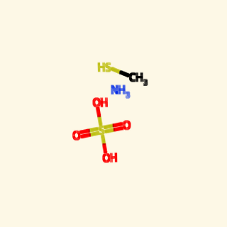 CS.N.O=S(=O)(O)O